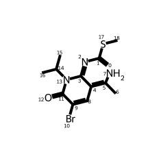 C=C(/N=C1\C(=C(\C)N)C=C(Br)C(=O)N1C(C)C)SC